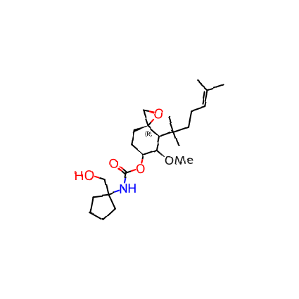 COC1C(OC(=O)NC2(CO)CCCC2)CC[C@]2(CO2)C1C(C)(C)CCC=C(C)C